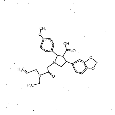 C=CCN(CC)C(=O)CN1CC(c2ccc3c(c2)OCO3)C(C(=O)O)C1c1ccc(OC)cc1